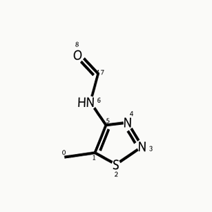 Cc1snnc1N[C]=O